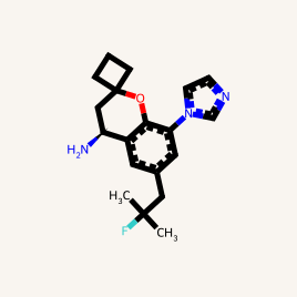 CC(C)(F)Cc1cc2c(c(-n3ccnc3)c1)OC1(CCC1)C[C@@H]2N